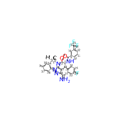 CCN1C(=O)C(NC(=O)c2cccc(C(F)(F)F)c2)C(c2ccc(F)cc2)c2c(CN)nn(-c3ccccc3)c21